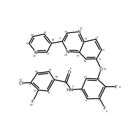 O=C(Nc1cc(F)c(F)c(Oc2ccc3ncc(-c4cccnc4)nc3c2)c1)c1ccc(Cl)c(F)c1